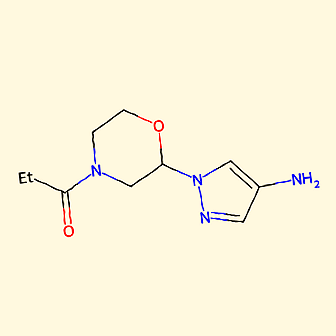 CCC(=O)N1CCOC(n2cc(N)cn2)C1